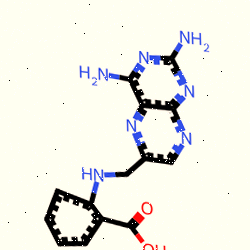 Nc1nc(N)c2nc(CNc3ccccc3C(=O)O)cnc2n1